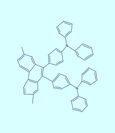 Cc1ccc2c(c1)c(-c1ccc(N(c3ccccc3)c3ccccc3)cc1)c(-c1ccc(N(c3ccccc3)c3ccccc3)cc1)c1cc(C)ccc12